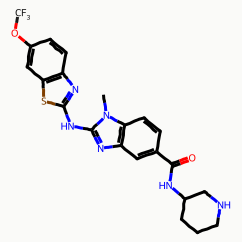 Cn1c(Nc2nc3ccc(OC(F)(F)F)cc3s2)nc2cc(C(=O)NC3CCCNC3)ccc21